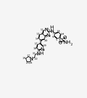 NS(=O)(=O)c1ccc(Nc2ncc3ccc(-c4ccc(NCCN5CCCC5)nc4)cc3n2)cc1